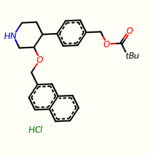 CC(C)(C)C(=O)OCc1ccc(C2CCNCC2OCc2ccc3ccccc3c2)cc1.Cl